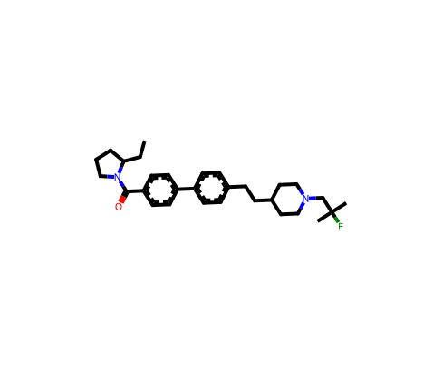 CCC1CCCN1C(=O)c1ccc(-c2ccc(CCC3CCN(CC(C)(C)F)CC3)cc2)cc1